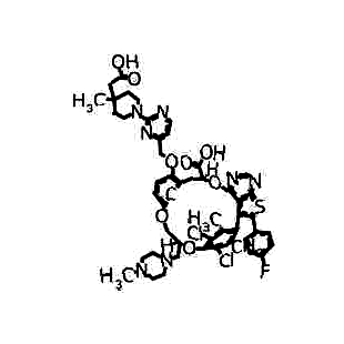 Cc1c(Cl)c2c(Cl)c(C)c1-c1c(-c3ccc(F)cc3)sc3ncnc(c13)O[C@@H](C(=O)O)Cc1cc(ccc1OCc1ccnc(N3CCC(C)(CC(=O)O)CC3)n1)OC[C@@H](CN1CCN(C)CC1)O2